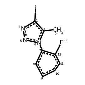 Cc1c(I)nnn1-c1ccccc1F